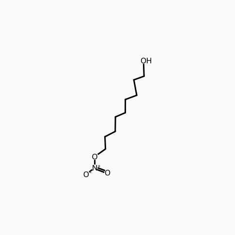 O=[N+]([O-])OCCCCCCCCCO